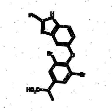 CC(C)c1nc2cc(Oc3c(Br)cc(C(C)C(=O)O)cc3Br)ccc2[nH]1